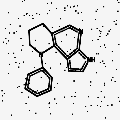 c1ccc(N2CCCc3cnc4[nH]ccc4c32)cc1